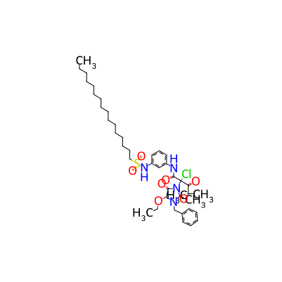 CCCCCCCCCCCCCCCCS(=O)(=O)Nc1cccc(NC(=O)C(Cl)(C(=O)C(C)(C)C)N2C(=O)C(OCC)N(Cc3ccccc3)C2=O)c1